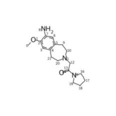 COc1cc2c(cc1N)CCN(CC(=O)N1CCCC1)CC2